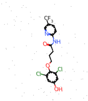 O=C(CCCOc1c(Cl)cc(O)cc1Cl)Nc1ccc(C(F)(F)F)cn1